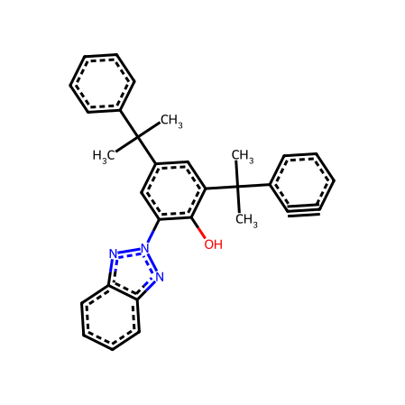 CC(C)(c1ccccc1)c1cc(-n2nc3ccccc3n2)c(O)c(C(C)(C)c2c#cccc2)c1